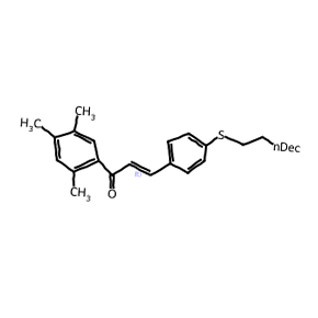 CCCCCCCCCCCCSc1ccc(/C=C/C(=O)c2cc(C)c(C)cc2C)cc1